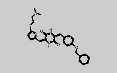 CN(C)CCSc1ccc(C=c2[nH]c(=O)c(=Cc3ccc(OCc4ccccc4)cc3)[nH]c2=O)s1